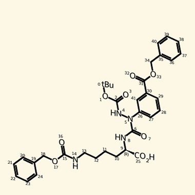 CC(C)(C)OC(=O)NN(C(=O)N[C@H](CCCCNC(=O)OCc1ccccc1)C(=O)O)c1cccc(C(=O)OCc2ccccc2)c1